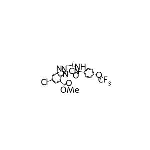 COC(=O)c1cc(Cl)cc2nn(CC(C)(C#N)NC(=O)c3ccc(OC(F)(F)F)cc3)nc12